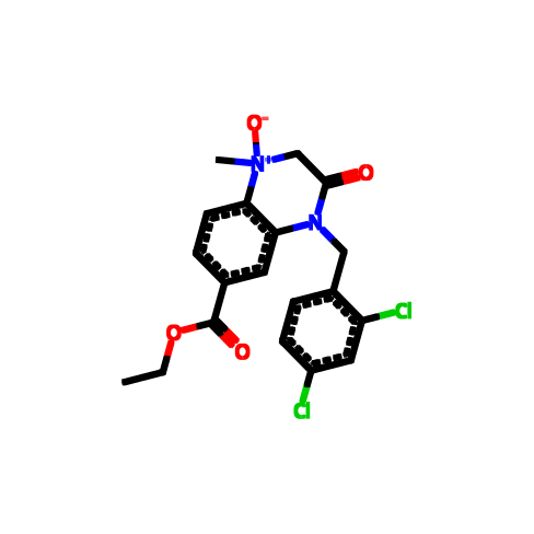 CCOC(=O)c1ccc2c(c1)N(Cc1ccc(Cl)cc1Cl)C(=O)C[N+]2(C)[O-]